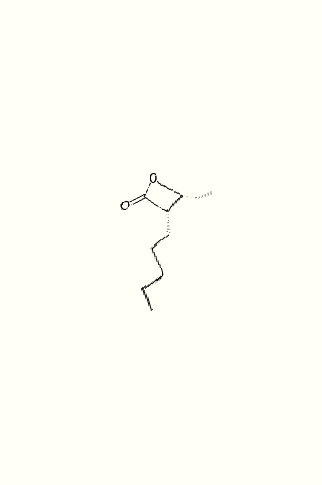 CCCCC[C@@H]1C(=O)O[C@@H]1C